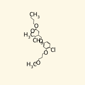 CCCCOC(=O)C[C@@H](COc1ccc(Cl)c(OCCCOC)c1)C(C)C